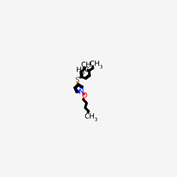 C=C/C=C(\C=C/C(C)CC)Sc1ccn(OCCCCC)c1